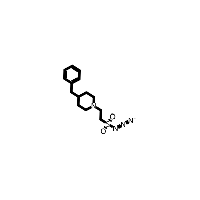 [N-]=[N+]=NS(=O)(=O)CCN1CCC(Cc2ccccc2)CC1